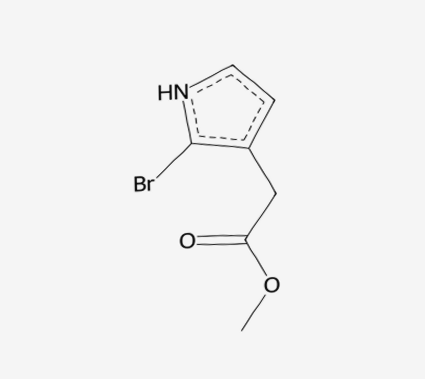 COC(=O)Cc1cc[nH]c1Br